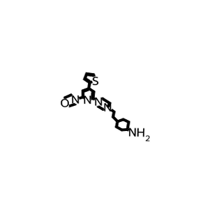 NC1CCC(CCN2CCN(c3cc(-c4cccs4)cc(N4CCOCC4)n3)CC2)CC1